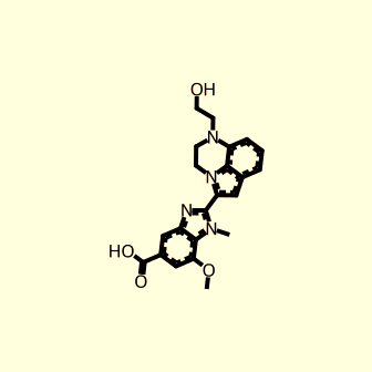 COc1cc(C(=O)O)cc2nc(-c3cc4cccc5c4n3CCN5CCO)n(C)c12